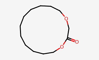 O=C1COCCCCCCCCCCCO1